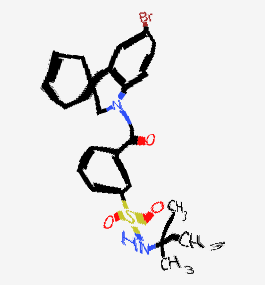 CC(C)(C)NS(=O)(=O)c1cccc(C(=O)N2CC3(CC=CC3)c3cc(Br)ccc32)c1